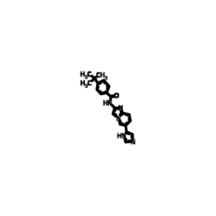 CC(C)(C)c1ccc(C(=O)Nc2cn3cc(-c4cnc[nH]4)ccc3n2)cc1